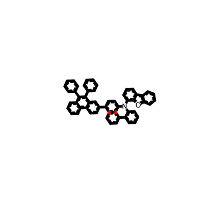 c1ccc(-c2ccccc2N(c2ccc(-c3ccc4c(c3)c(-c3ccccc3)c(-c3ccccc3)c3ccccc34)cc2)c2cccc3c2oc2ccccc23)cc1